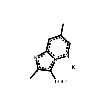 Cc1cnn2c(C(=O)[O-])c(C)nc2c1.[K+]